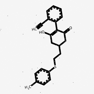 C#Cc1ccccc1C1=C(O)CC(CCSc2ccc(C)cc2)CC1=O